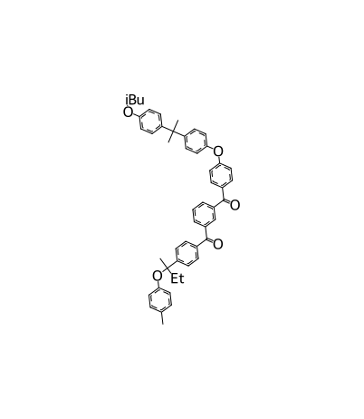 CCC(C)Oc1ccc(C(C)(C)c2ccc(Oc3ccc(C(=O)c4cccc(C(=O)c5ccc(C(C)(CC)Oc6ccc(C)cc6)cc5)c4)cc3)cc2)cc1